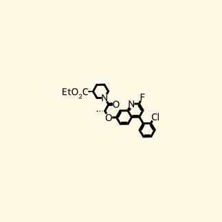 CCOC(=O)[C@H]1CCCN(C(=O)[C@@H](C)Oc2ccc3c(-c4ccccc4Cl)cc(F)nc3c2)C1